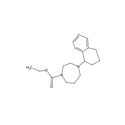 CCOC(=O)N1CCCN(C2CCCc3ccccc32)CC1